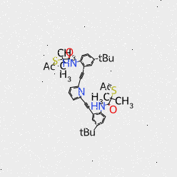 CC(=O)SC(C)(C)C(=O)Nc1ccc(C(C)(C)C)cc1C#Cc1cccc(C#Cc2cc(C(C)(C)C)ccc2NC(=O)C(C)(C)SC(C)=O)n1